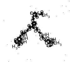 CC(=O)CSC1CC(=O)N(CCOc2ccc3c(c2)c(C(=O)OCCOCC(=O)NCC2CC4OCCN(C(C)=O)[C@@H]4[C@@H](O)[C@H]2O)cn3CC(=O)OCCOCC(=O)NCC2OC3OCCN(C(C)=O)[C@@H]3[C@@H](O)[C@H]2O)C1=O